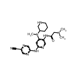 CN(C)CC(=O)Nc1cnc(Nc2cnc(C#N)cn2)cc1N(C)C1CCCNC1